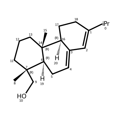 CC(C)C1=CC2=CC[C@H]3[C@](C)(CO)CCC[C@]3(C)[C@H]2CC1